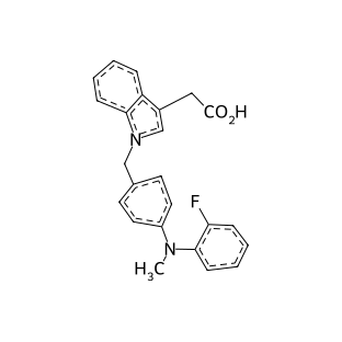 CN(c1ccc(Cn2cc(CC(=O)O)c3ccccc32)cc1)c1ccccc1F